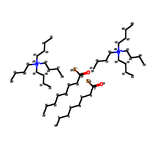 CCCCCCCC(=O)[S-].CCCCCCCC(=O)[S-].CCCC[N+](CCCC)(CCCC)CCCC.CCCC[N+](CCCC)(CCCC)CCCC